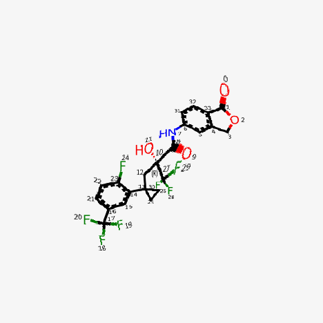 O=C1OCc2cc(NC(=O)[C@](O)(CC3(c4cc(C(F)(F)F)ccc4F)CC3)C(F)(F)F)ccc21